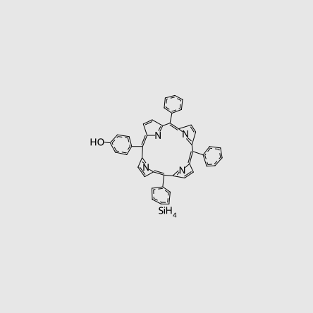 Oc1ccc(C2=C3C=CC(=N3)C(c3ccccc3)=C3C=CC(=N3)C(c3ccccc3)=C3C=CC(=N3)C(c3ccccc3)=C3C=CC2=N3)cc1.[SiH4]